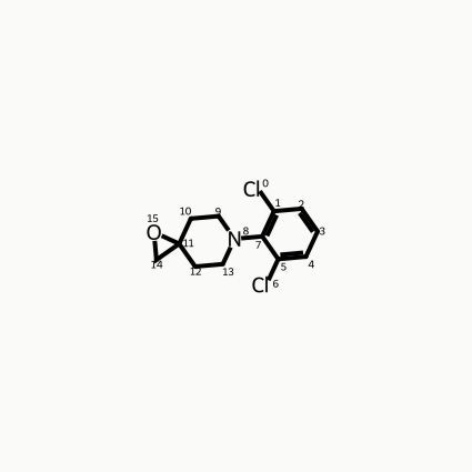 Clc1cccc(Cl)c1N1CCC2(CC1)CO2